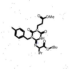 COC(=O)CCn1c(=O)[nH]/c(=N\C(C(=O)OC(C)(C)C)C(C)C)n(Cc2ccc(C)cc2)c1=O